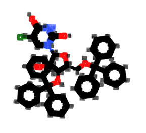 O=c1[nH]c(=O)n([C@@H]2O[C@H](COC(c3ccccc3)(c3ccccc3)c3ccccc3)[C@@H](OC(c3ccccc3)(c3ccccc3)c3ccccc3)[C@H]2O)cc1Cl